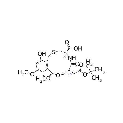 COc1cc(O)c2c(c1C)C(=O)OC/C(=C/C(=O)OC(C)(C)C)C(=O)N[C@H](C(=O)O)CSC2